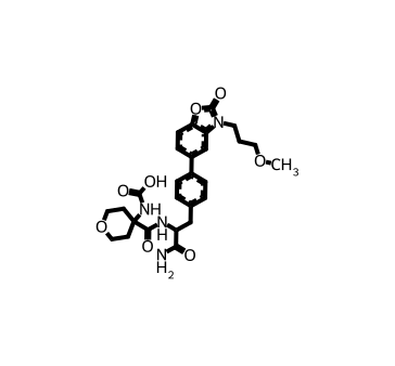 COCCCn1c(=O)oc2ccc(-c3ccc(CC(NC(=O)C4(NC(=O)O)CCOCC4)C(N)=O)cc3)cc21